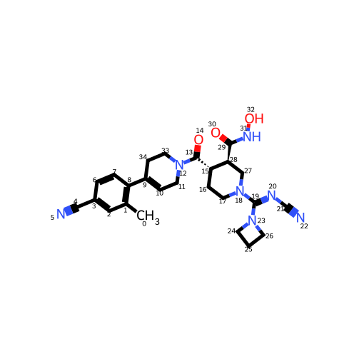 Cc1cc(C#N)ccc1C1=CCN(C(=O)[C@H]2CCN(C(=NC#N)N3CCC3)C[C@@H]2C(=O)NO)CC1